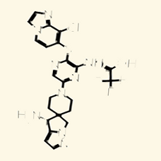 Nc1nc(N2CCC3(CC2)Cn2nccc2[C@H]3N)cnc1Sc1ccn2ccnc2c1Cl.O=C(O)C(F)(F)F